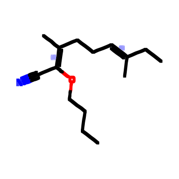 CCCCO/C(C#N)=C(/C)CC/C=C(\C)CC